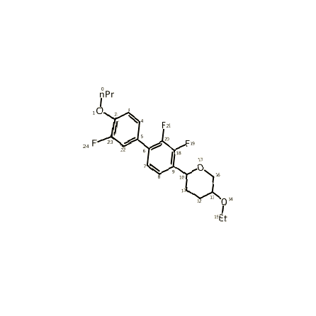 CCCOc1ccc(-c2ccc(C3CCC(OCC)CO3)c(F)c2F)cc1F